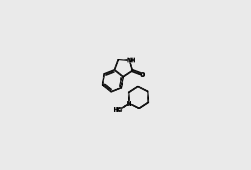 O=C1NCc2ccccc21.ON1CCCCC1